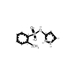 Cc1ccccc1S(=O)(=O)Oc1ccsn1